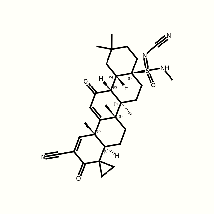 CNS(=O)(=NC#N)[C@]12CCC(C)(C)C[C@H]1[C@H]1C(=O)C=C3[C@@]4(C)C=C(C#N)C(=O)C5(CC5)[C@@H]4CC[C@@]3(C)[C@]1(C)CC2